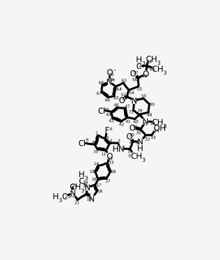 CC(NCc1c(F)cc(Cl)cc1Oc1ccc(-c2cnc(CN(C)C)n2C)cc1)C(=O)NC(CO)C(=O)N(C)C1(Cc2ccc(Cl)cc2)CCCN(C(=O)C(CC(=O)OC(C)(C)C)Cc2cccc[n+]2[O-])C1